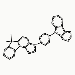 CC1(C)c2ccccc2-c2c1ccc1c2ccn1-c1ccc(-n2c3ccccc3c3ccccc32)cc1